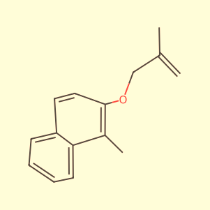 C=C(C)COc1ccc2ccccc2c1C